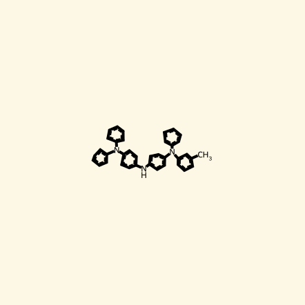 Cc1cccc(N(c2ccccc2)c2ccc(Nc3ccc(N(c4ccccc4)c4ccccc4)cc3)cc2)c1